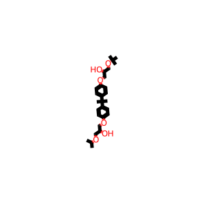 CC(C)OCC(O)COc1ccc(C(C)(C)c2ccc(OCC(O)COC(C)(C)C)cc2)cc1